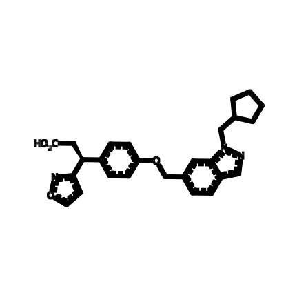 O=C(O)C[C@@H](c1ccc(OCc2ccc3cnn(CC4CCCC4)c3c2)cc1)c1ccon1